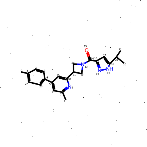 Cc1ccc(-c2cc(C)nc(C3CN(C(=O)c4cc(C(C)C)[nH]n4)C3)c2)cc1